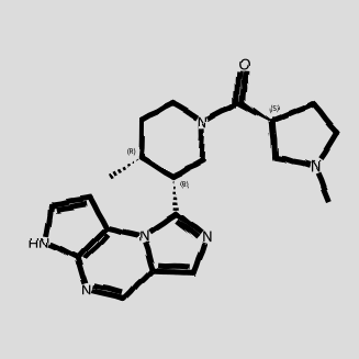 C[C@@H]1CCN(C(=O)[C@H]2CCN(C)C2)C[C@@H]1c1ncc2cnc3[nH]ccc3n12